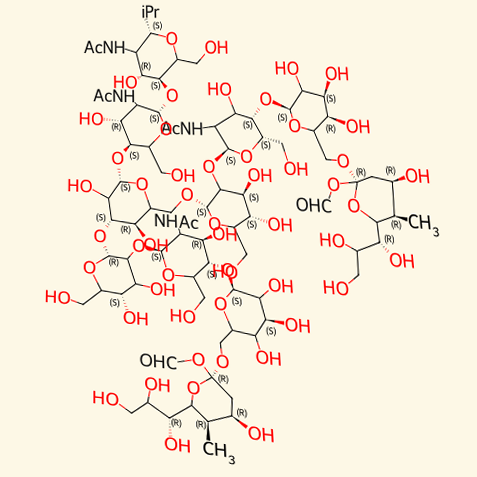 CC(=O)NC1C(O)[C@H](O[C@@H]2OC(CO[C@]3(OC=O)C[C@@H](O)[C@@H](C)C([C@H](O)C(O)CO)O3)[C@H](O)[C@H](O)C2O)[C@H](CO)O[C@H]1OC1[C@@H](OCC2O[C@@H](O[C@@H]3C(CO)O[C@@H](O[C@@H]4C(CO)O[C@@H](C(C)C)C(NC(C)=O)[C@H]4O)C(NC(C)=O)[C@H]3O)C(O)[C@@H](O[C@H]3OC(CO)[C@@H](O)C(O)C3O[C@@H]3OC(CO)[C@@H](O[C@@H]4OC(CO[C@]5(OC=O)C[C@@H](O)[C@@H](C)C([C@H](O)C(O)CO)O5)C(O)[C@H](O)C4O)[C@H](O)C3NC(C)=O)[C@@H]2O)OC(CO)[C@@H](O)[C@@H]1O